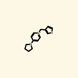 c1cc(C[n+]2ccc(N3CCCC3)cc2)cs1